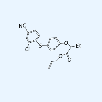 C=CCOC(=O)C(CC)Oc1ccc(Sc2ccc(C#N)cc2Cl)cc1